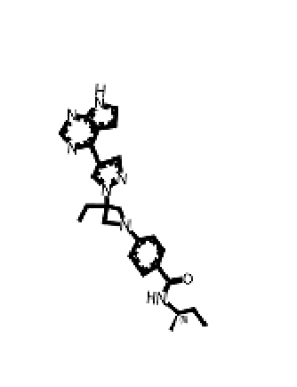 CC[C@@H](C)NC(=O)c1ccc(N2CC(CC)(n3cc(-c4ncnc5[nH]ccc45)cn3)C2)cc1